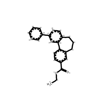 CCOC(=O)c1ccc2c(c1)CCCc1cnc(-c3cccnc3)nc1-2